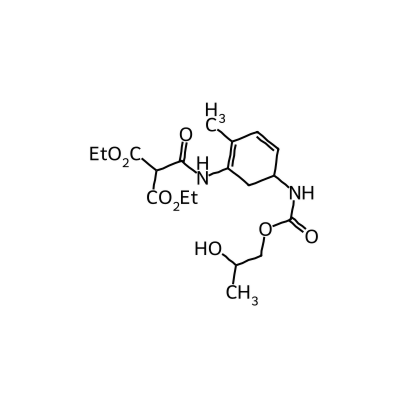 CCOC(=O)C(C(=O)NC1=C(C)C=CC(NC(=O)OCC(C)O)C1)C(=O)OCC